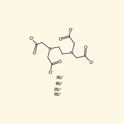 O=C([O-])CN(CCN(CC(=O)[O-])CC(=O)[O-])CC(=O)[O-].[Rb+].[Rb+].[Rb+].[Rb+]